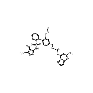 CCOCc1cc(CNC(=O)Cc2cc(C)nc3ccnn23)ccc1-c1ccccc1S(=O)(=O)Nc1noc(C)c1C